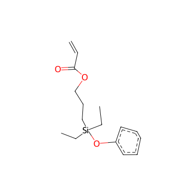 C=CC(=O)OCCC[Si](CC)(CC)Oc1ccccc1